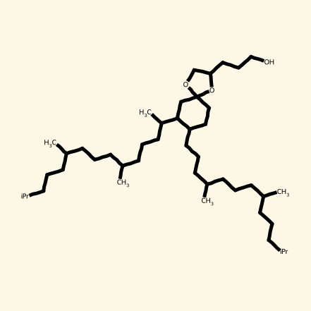 CC(C)CCCC(C)CCCC(C)CCCC(C)C1CC2(CCC1CCCC(C)CCCC(C)CCCC(C)C)OCC(CCCO)O2